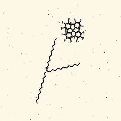 CCCCCCCCCCCC[NH+](CCCCCCCCCCCC)CCCCCCCCCCCC.Fc1c(F)c(F)c([B-](c2c(F)c(F)c(F)c(F)c2F)(c2c(F)c(F)c(F)c(F)c2F)c2c(F)c(F)c(F)c(F)c2F)c(F)c1F